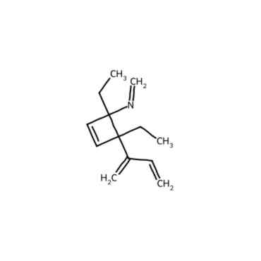 C=CC(=C)C1(CC)C=CC1(CC)N=C